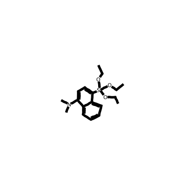 CCO[Si](OCC)(OCC)c1ccc(N(C)C)c2ccccc12